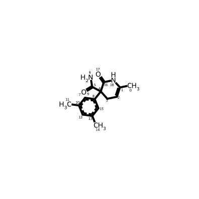 CC1=CCC(C(N)=O)(c2cc(C)cc(C)c2)C(=O)N1